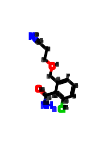 N#C[CH]COCc1cccc(Cl)c1C(N)=O